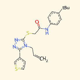 C=CCn1c(SCC(=O)Nc2ccc(C(C)(C)C)cc2)nnc1-c1ccsc1